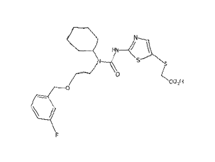 O=C(O)CSc1cnc(NC(=O)N(CCOCc2cccc(F)c2)C2CCCCC2)s1